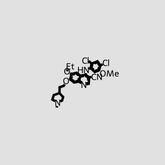 CCOc1cc2c(Nc3cc(OC)c(Cl)cc3Cl)c(C#N)cnc2cc1OCCC1CCN(C)CC1